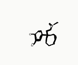 CN(C)CCC1(c2ccc(Cl)c(Cl)c2)CCCCC1